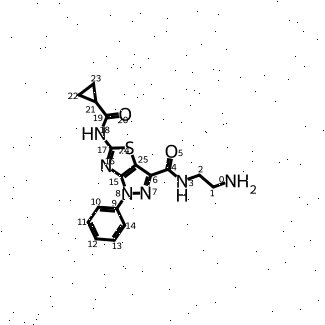 NCCNC(=O)c1nn(-c2ccccc2)c2nc(NC(=O)C3CC3)sc12